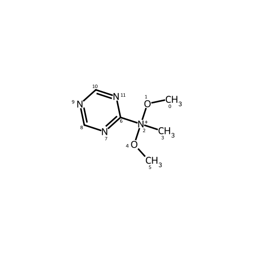 CO[N+](C)(OC)c1ncncn1